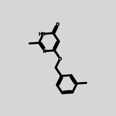 Cc1cccc(COc2cc(=O)[nH]c(C)n2)c1